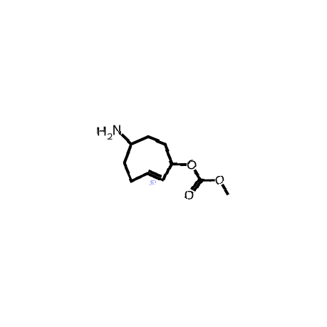 COC(=O)OC1/C=C/CCC(N)CC1